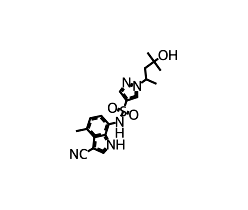 Cc1ccc(NS(=O)(=O)c2cnn(C(C)CC(C)(C)O)c2)c2[nH]cc(C#N)c12